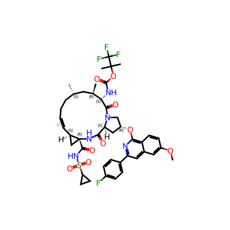 COc1ccc2c(O[C@@H]3C[C@H]4C(=O)N[C@]5(C(=O)NS(=O)(=O)C6CC6)C[C@H]5/C=C\CC[C@H](C)C[C@@H](C)[C@H](NC(=O)OC(C)(C)C(F)(F)F)C(=O)N4C3)nc(-c3ccc(F)cc3)cc2c1